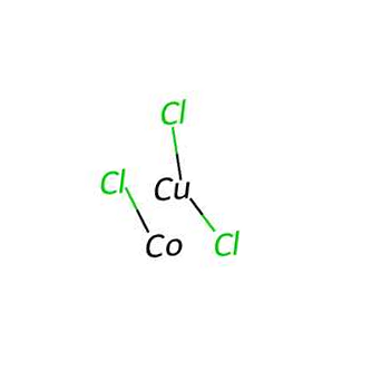 [Cl][Co].[Cl][Cu][Cl]